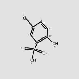 O=S(=O)(O)c1cc(Cl)c[c]c1O